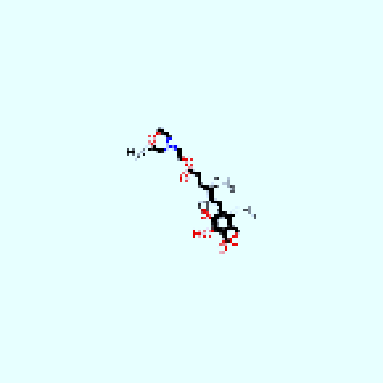 COc1c(O)c2c(c(C)c1C/C=C(\C)CCC(=O)OCCN1CCO[C@H](C)C1)COC2=O